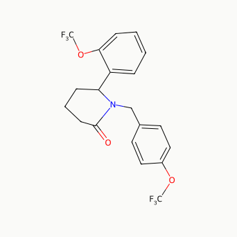 O=C1CCCC(c2ccccc2OC(F)(F)F)N1Cc1ccc(OC(F)(F)F)cc1